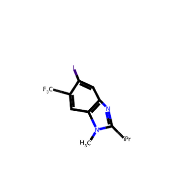 CC(C)c1nc2cc(I)c(C(F)(F)F)cc2n1C